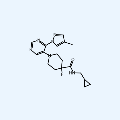 Cc1cnn(-c2ncncc2N2CCC(F)(C(=O)NCC3CC3)CC2)c1